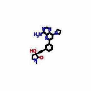 CN1CCC(O)(C#Cc2cccc(-c3cc(N4CCC4)c4ncnc(N)c4n3)c2)C1=O